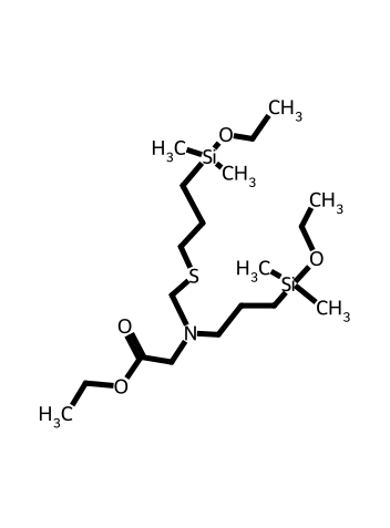 CCOC(=O)CN(CCC[Si](C)(C)OCC)CSCCC[Si](C)(C)OCC